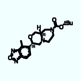 Cc1c([C@H]2CN3CCN(C(=O)OC(C)(C)C)C[C@H]3CO2)ccc2nonc12